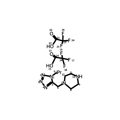 CC(C)n1nnnc1CN1CCNCC1.O=C(O)C(F)(F)F.O=C(O)C(F)(F)F